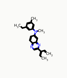 C=C/C(=C\C)c1cnc2ccc(N(C)c3cc(C)cc(CC)c3)cc2n1